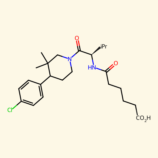 CC(C)[C@@H](NC(=O)CCCCC(=O)O)C(=O)N1CCC(c2ccc(Cl)cc2)C(C)(C)C1